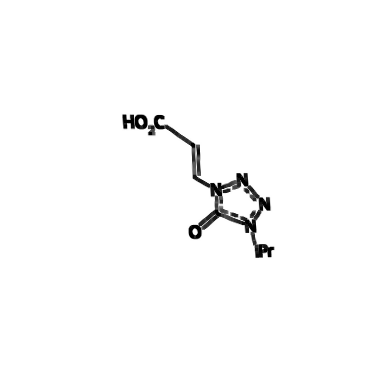 CC(C)n1nnn(C=CC(=O)O)c1=O